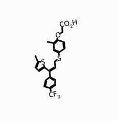 Cc1ccc(/C(=C\CSc2ccc(OCC(=O)O)c(C)c2)c2ccc(C(F)(F)F)cc2)s1